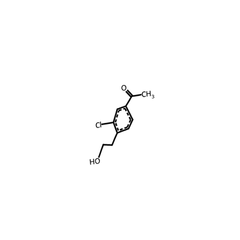 CC(=O)c1ccc(CCO)c(Cl)c1